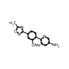 COc1cc(-c2noc(C)n2)ccc1-c1ccc(N)cn1